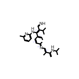 C=C(NC(C)C)/C(C)=C/N=C(C)/C=C\C(=C/C)C(\Nc1cccc(C)n1)=C(\C=N)C(C)C